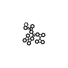 C1=Cc2c(cccc2-n2c3ccccc3c3cc(N(c4ccc5c(c4)C(=C4c6ccccc6-c6ccccc64)c4ccccc4-5)c4ccc5c(c4)C4(c6ccccc6-c6ccccc64)c4ccccc4-5)ccc32)CC1